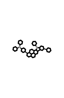 c1ccc(-c2ccc3c(c2)c2cc4ccc5ccc(-c6ccc(N(c7ccccc7)c7ccccc7)cc6)c6ccc(c4c56)c2n3-c2ccccc2)cc1